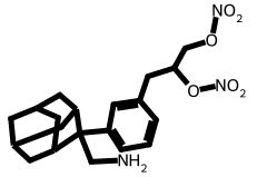 NCC1(c2cccc(CC(CO[N+](=O)[O-])O[N+](=O)[O-])c2)C2CC3CC(C2)CC1C3